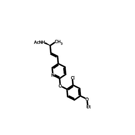 CCOc1ccc(Oc2ccc(/C=C/[C@H](C)NC(C)=O)cn2)c(Cl)c1